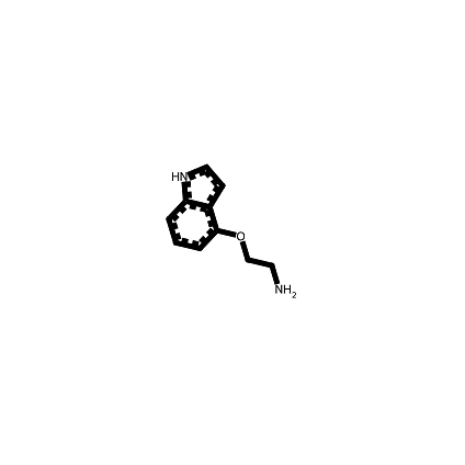 NCCOc1cccc2[nH]ccc12